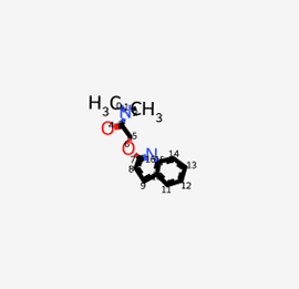 CN(C)C(=O)COc1ccc2ccccc2n1